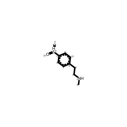 CNCCc1ccc([SH](=O)=O)cc1